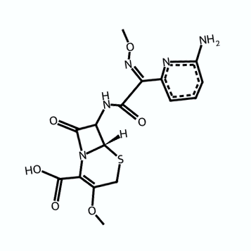 CON=C(C(=O)NC1C(=O)N2C(C(=O)O)=C(OC)CS[C@@H]12)c1cccc(N)n1